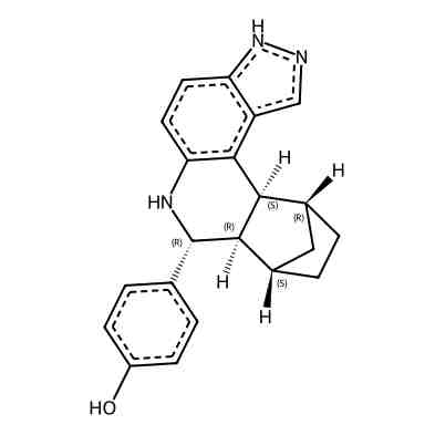 Oc1ccc([C@@H]2Nc3ccc4[nH]ncc4c3[C@H]3[C@@H]4CC[C@@H](C4)[C@H]32)cc1